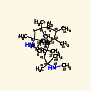 CNC(C)(C)CC(C)(C)[SiH2]C(C)C(C)[SiH2]C(C)(C)CC(C)(C)NC